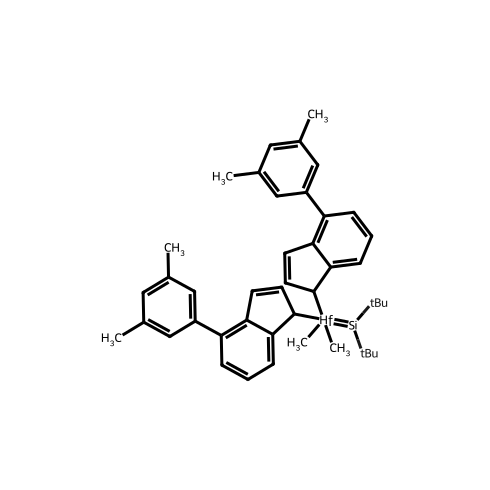 Cc1cc(C)cc(-c2cccc3c2C=C[CH]3[Hf]([CH3])([CH3])([CH]2C=Cc3c(-c4cc(C)cc(C)c4)cccc32)=[Si](C(C)(C)C)C(C)(C)C)c1